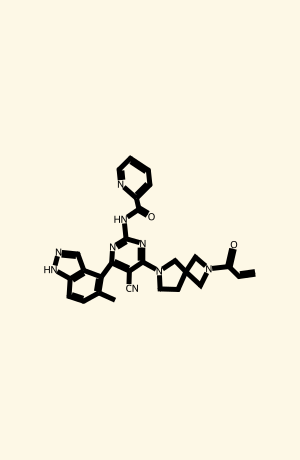 C=CC(=O)N1CC2(CCN(c3nc(NC(=O)c4ccccn4)nc(-c4c(C)ccc5[nH]ncc45)c3C#N)C2)C1